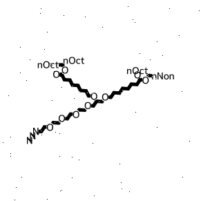 CCCCCCCCCC(CCCCCCCC)OC(=O)CCCCCCCOCC(COCCOCCOCCOCCN=[N+]=[N-])OCCCCCCCC(=O)OC(CCCCCCCC)CCCCCCCC